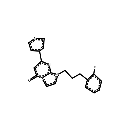 O=c1cc(-c2ccncc2)nc2n(CCCc3ccccc3F)ccn12